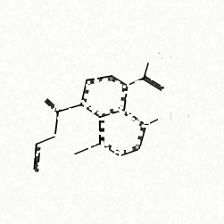 C=CCC(=C)c1ccc(C(=O)OC)c2c(C=O)ccc(C)c12